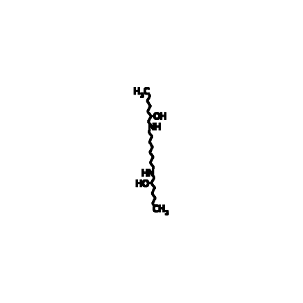 CCCCCC(O)CNCCCCCCCCNCC(O)CCCCC